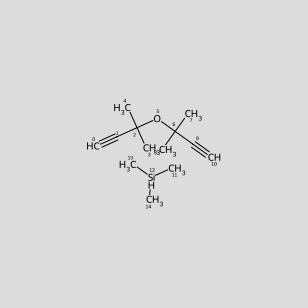 C#CC(C)(C)OC(C)(C)C#C.C[SiH](C)C